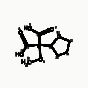 COC(C(=O)O)(C(=O)O)C1CCCO1